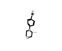 [C-]#[N+]c1ccc(N2CCOC[C@H]2C)cc1